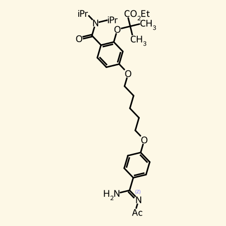 CCOC(=O)C(C)(C)Oc1cc(OCCCCCOc2ccc(/C(N)=N/C(C)=O)cc2)ccc1C(=O)N(C(C)C)C(C)C